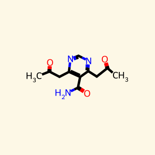 CC(=O)Cc1ncnc(CC(C)=O)c1C(N)=O